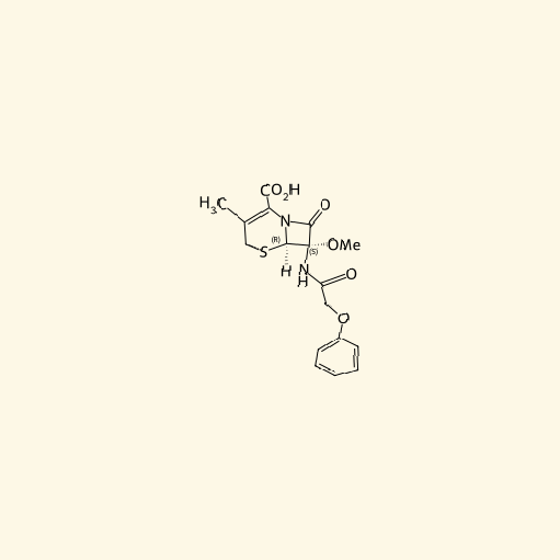 CO[C@@]1(NC(=O)COc2ccccc2)C(=O)N2C(C(=O)O)=C(C)CS[C@@H]21